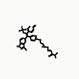 C=C\C=C/C(=C\C)C(/CC(F)(F)F)=C(\c1ccc(OCCNC/C=C/C(=O)N(C)C)nc1)c1ccc2[nH]nc(F)c2c1